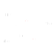 CCC(C)CC(C)(CC)OC(=O)C(C)(C)C